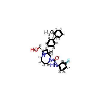 Cc1ccccc1-c1ccc([C@H]2[C@@H](CO)N3CCCCN(C(=O)Nc4cccc(F)c4)C[C@@H]23)cc1